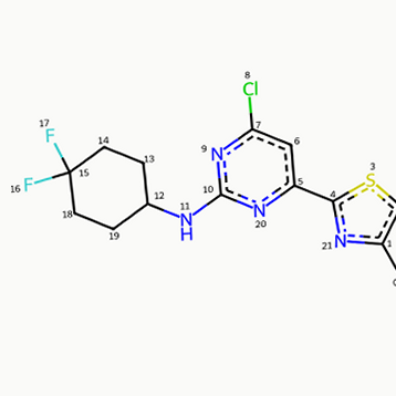 Cc1csc(-c2cc(Cl)nc(NC3CCC(F)(F)CC3)n2)n1